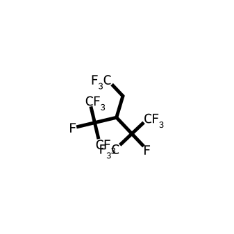 FC(F)(F)CC(C(F)(C(F)(F)F)C(F)(F)F)C(F)(C(F)(F)F)C(F)(F)F